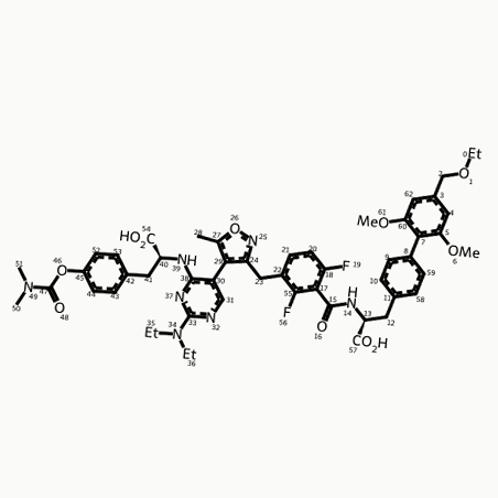 CCOCc1cc(OC)c(-c2ccc(C[C@H](NC(=O)c3c(F)ccc(Cc4noc(C)c4-c4cnc(N(CC)CC)nc4N[C@@H](Cc4ccc(OC(=O)N(C)C)cc4)C(=O)O)c3F)C(=O)O)cc2)c(OC)c1